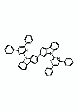 c1ccc(-c2cc(-c3ccccc3)nc(-n3c4ccccc4c4ccc(-c5ccc6c7ccccc7n(-c7nc(-c8ccccc8)cc(-c8ccccc8)n7)c6c5)cc43)n2)cc1